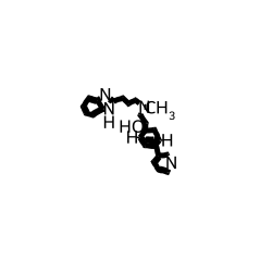 CN(CCCc1nc2ccccc2[nH]1)CC[C@]1(O)C[C@H]2CC[C@@H]1C=C2c1cccnc1